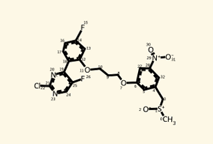 C[S+]([O-])Cc1cc(OCCCOc2cc(F)ccc2-c2nc(Cl)ncc2F)cc([N+](=O)[O-])c1